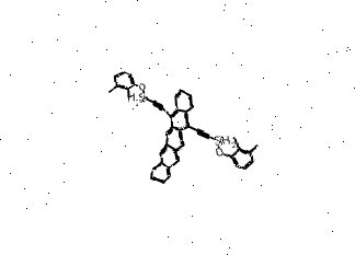 Cc1cccc(O[SiH2]C#Cc2c3ccccc3c(C#C[SiH2]Oc3cccc(C)c3C)c3cc4cc5ccccc5cc4cc23)c1C